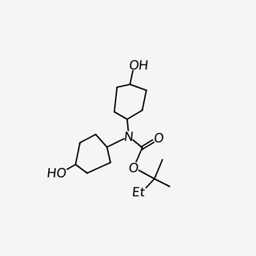 CCC(C)(C)OC(=O)N(C1CCC(O)CC1)C1CCC(O)CC1